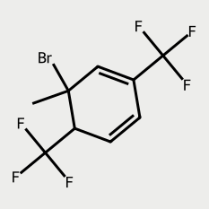 CC1(Br)C=C(C(F)(F)F)C=CC1C(F)(F)F